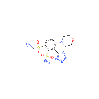 NCS(=O)(=O)c1ccc(N2CCOCC2)c(-c2nnn[nH]2)c1S(N)(=O)=O